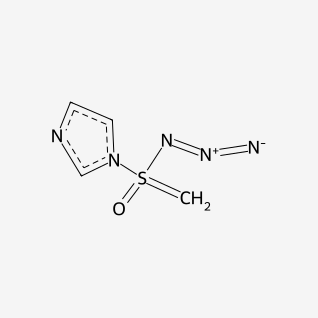 C=S(=O)(N=[N+]=[N-])n1ccnc1